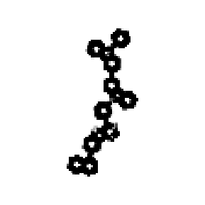 c1ccc(-n2c3ccccc3c3cc(-c4ccc5c(c4)c4ccccc4n5-c4cccc(-c5ncnc6c5oc5ccc(-c7cccc8ccccc78)cc56)c4)ccc32)cc1